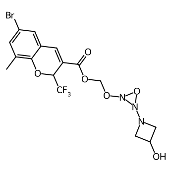 Cc1cc(Br)cc2c1OC(C(F)(F)F)C(C(=O)OCOn1on1N1CC(O)C1)=C2